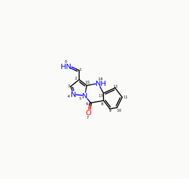 N=Cc1cnn2c(=O)c3ccccc3[nH]c12